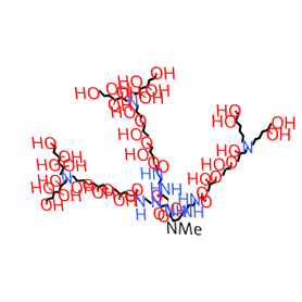 CN[C@H](CC(=O)NCCNC(=O)OCC(O)COCC(O)COCC(O)CN(CCCC[C@H](O)CO)CCCC[C@H](O)CO)C(=O)N[C@@H](CC(=O)NCCNC(=O)OCC(O)COCC(O)COCC(O)CN(C[C@H](O)[C@@H](O)[C@H](O)CCO)C[C@H](O)[C@@H](O)[C@H](O)CCO)C(=O)NCCNC(=O)OCC(O)COCC(O)COCC(O)CN(C[C@H](O)[C@@H](O)[C@H](O)CCO)C[C@H](O)[C@@H](O)[C@H](O)CCO